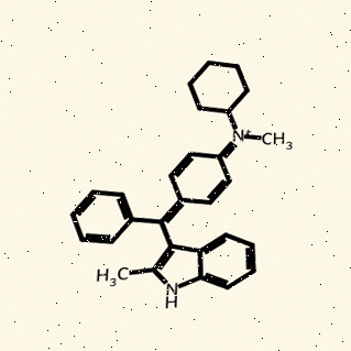 Cc1[nH]c2ccccc2c1C(=C1C=CC(=[N+](C)C2CCCCC2)C=C1)c1ccccc1